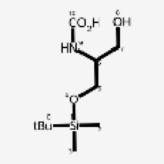 CC(C)(C)[Si](C)(C)OCC(CO)NC(=O)O